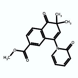 COC(=O)c1ccc2c(c1)C(n1ccccc1=O)=CC(C)(C)C2=O